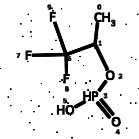 CC(O[PH](=O)O)C(F)(F)F